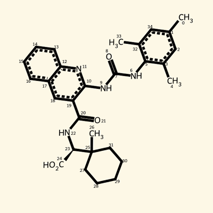 Cc1cc(C)c(NC(=O)Nc2nc3ccccc3cc2C(=O)N[C@H](C(=O)O)C2(C)CCCCC2)c(C)c1